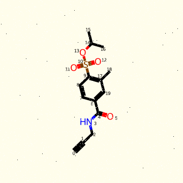 C#CCNC(=O)c1ccc(S(=O)(=O)OC(C)C)c(C)c1